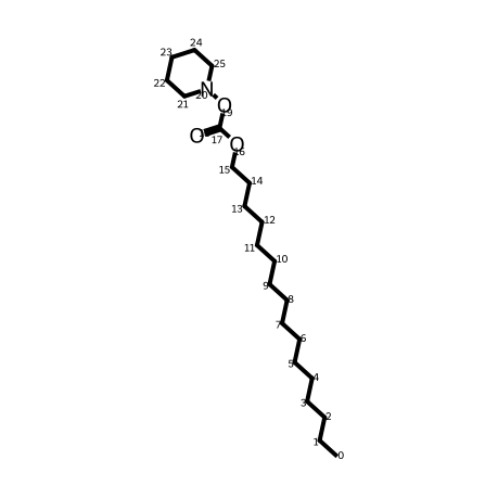 CCCCCCCCCCCCCCCCOC(=O)ON1CCCCC1